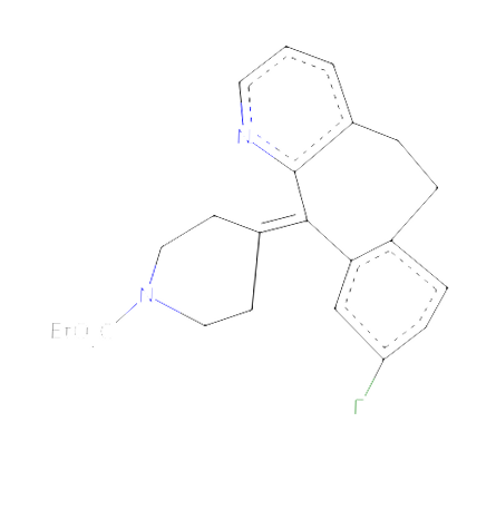 CCOC(=O)N1CCC(=C2c3cc(F)ccc3CCc3cccnc32)CC1